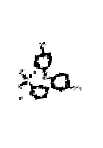 Cc1ccc(Pc2ccc(C)cc2)cc1.O=S(=O)([O-])c1ccccc1.[Li+]